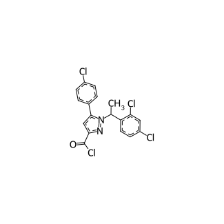 CC(c1ccc(Cl)cc1Cl)n1nc(C(=O)Cl)cc1-c1ccc(Cl)cc1